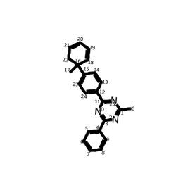 Cc1nc(-c2ccccc2)nc(-c2ccc(C3(C)C=CC=CC3)cc2)n1